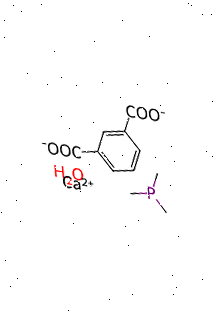 CP(C)C.O.O=C([O-])c1cccc(C(=O)[O-])c1.[Ca+2]